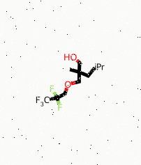 CC(C)CC(C)(CO)COCC(F)(F)C(F)(F)F